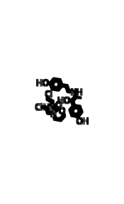 C[C@H](NCCc1ccc(O)cc1)[C@H](O)c1ccc(O)cc1.O=P1(NCCCl)OCCCN1CCCl